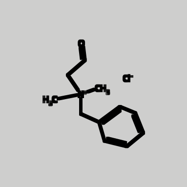 C[N+](C)(CC=O)Cc1ccccc1.[Cl-]